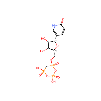 O=c1ccc([C@@H]2O[C@H](COP3(=O)CP(=O)(O)OP(=O)(O)O3)C(O)C2O)c[nH]1